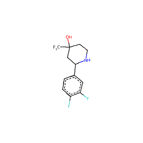 OC1(C(F)(F)F)CCNC(c2ccc(F)c(F)c2)C1